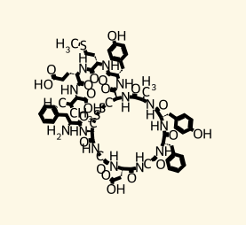 CSCC[C@H](NC(=O)[C@H](Cc1ccc(O)cc1)NC(=O)[C@@H]1CSSC[C@H](NC(=O)[C@@H](N)Cc2ccccc2)C(=O)NCC(=O)N[C@@H](CC(=O)O)C(=O)NCC(=O)N[C@@H](Cc2ccccc2)C(=O)N[C@@H](Cc2ccc(O)cc2)C(=O)N[C@@H](C)C(=O)N1)C(=O)N[C@@H](CCC(=O)O)C(=O)N[C@H](C(=O)O)C(C)C